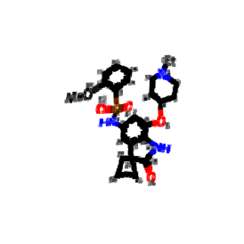 CCN1CCC(Oc2cc(NS(=O)(=O)c3ccccc3OC)cc3c2NC(=O)C32CCC2)CC1